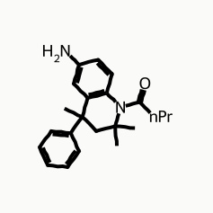 CCCC(=O)N1c2ccc(N)cc2C(C)(c2ccccc2)CC1(C)C